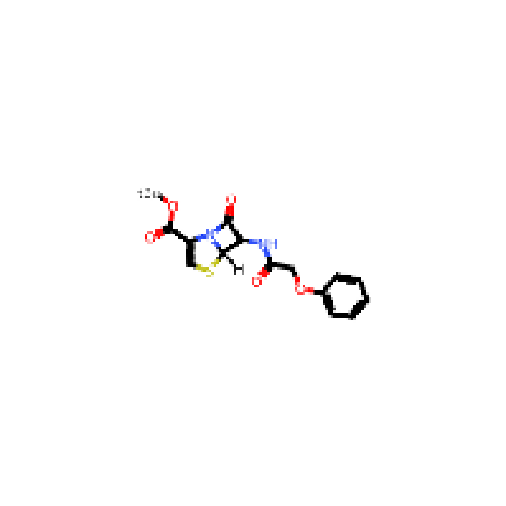 CC(C)(C)OC(=O)C1=CS[C@H]2[C@H](NC(=O)COc3ccccc3)C(=O)N12